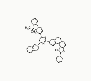 CC1(C)c2ccccc2-c2ccc(-c3cc(-c4ccc5ccccc5c4)nc(-c4ccc5c(ccc6ccc7c(c65)NC(C5C=CC=CC5)S7)c4)n3)cc21